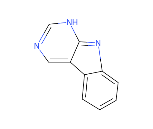 c1ccc2c3cnc[nH]c-3nc2c1